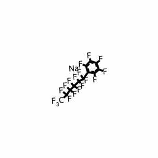 Fc1c(F)c(F)c(C(F)(F)C(F)(F)C(F)(F)C(F)(F)C(F)(F)C(F)(F)F)c(F)c1F.[Na]